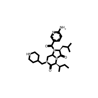 CCC(C)[C@H]1C(=O)N(CC2CCNCC2)CC2N1C(=O)[C@H](CC(C)C)N2C(=O)c1ccc(N)nc1